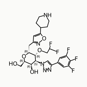 OC[C@H]1O[C@H](Cc2cc(C3CCNCC3)on2)[C@H](OCC(F)F)[C@@H](n2cc(-c3cc(F)c(F)c(F)c3)nn2)[C@H]1O